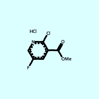 COC(=O)c1cc(F)cnc1Cl.Cl